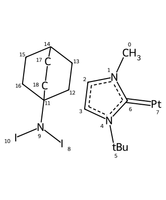 Cn1ccn(C(C)(C)C)[c]1=[Pt].IN(I)C12CCC(CC1)CC2